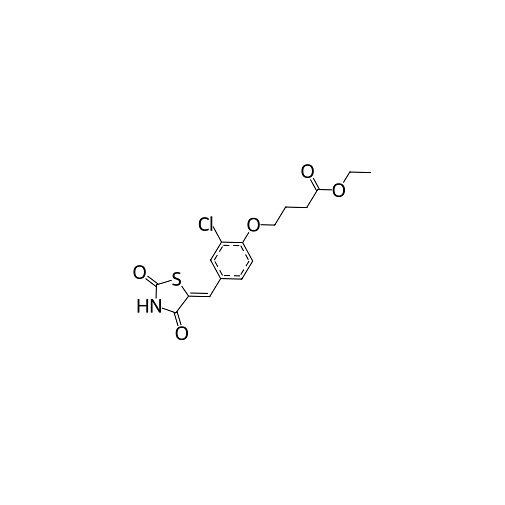 CCOC(=O)CCCOc1ccc(/C=C2\SC(=O)NC2=O)cc1Cl